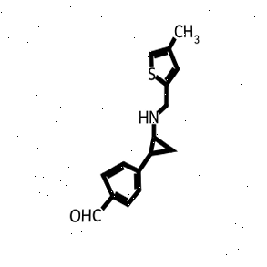 Cc1csc(CNC2CC2c2ccc(C=O)cc2)c1